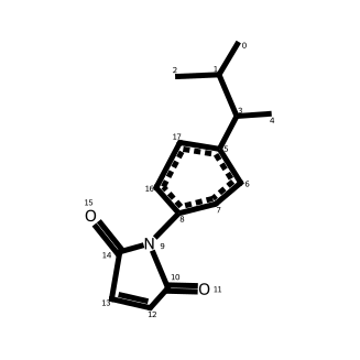 CC(C)C(C)c1ccc(N2C(=O)C=CC2=O)cc1